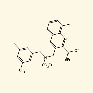 CCC[S+]([O-])c1nc2c(C)cccc2cc1CN(Cc1cc(C)cc(C(F)(F)F)c1)C(=O)OCC